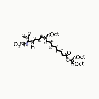 CCCCCCCCC(CCCCCCCC)OC(=O)CCCCCCCN(CCCCCCCC)CCCN/C(=N/[N+](=O)[O-])N(C)C